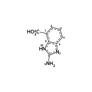 Nc1nc2cccc(C(=O)O)c2[nH]1